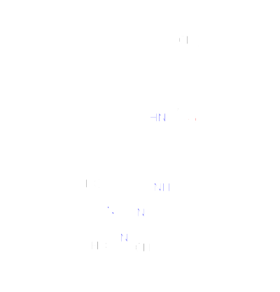 Cc1ccc(C(=O)N[C@H]2CC[C@@H](Nc3cc(C)nc(N(C)C)n3)CC2)cc1